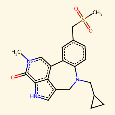 Cn1cc2c3c(c[nH]c3c1=O)CN(CC1CC1)c1ccc(CS(C)(=O)=O)cc1-2